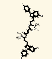 CN(C)C(CCc1cn(-c2ccc(F)cc2)c2ccc(Cl)cc12)OC(=O)/C=C/C(=O)OC(CCc1cn(-c2ccc(F)cc2)c2ccc(Cl)cc12)N(C)C